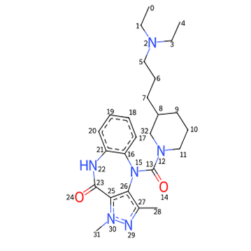 CCN(CC)CCCC1CCCN(C(=O)N2c3ccccc3NC(=O)c3c2c(C)nn3C)C1